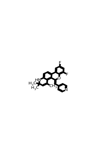 CC1=CC(C)(C)Nc2ccc3c(c21)/C(=C/c1ccncc1)Oc1c(F)cc(F)cc1-3